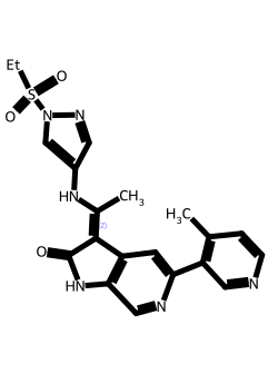 CCS(=O)(=O)n1cc(N/C(C)=C2\C(=O)Nc3cnc(-c4cnccc4C)cc32)cn1